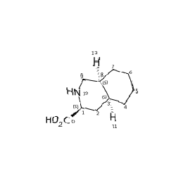 O=C(O)[C@@H]1C[C@@H]2CCCC[C@@H]2CN1